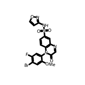 COc1cc(Br)c(F)cc1-n1c(=O)cnc2cc(S(=O)(=O)Nc3ccon3)ccc21